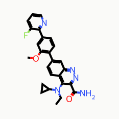 CCN(c1c(C(N)=O)nnc2cc(-c3ccc(-c4ncccc4F)cc3OC)ccc12)C1CC1